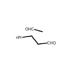 CC=O.CCCCCC=O